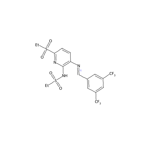 CCS(=O)(=O)Nc1nc(S(=O)(=O)CC)ccc1/N=C/c1cc(C(F)(F)F)cc(C(F)(F)F)c1